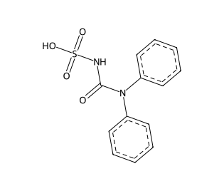 O=C(NS(=O)(=O)O)N(c1ccccc1)c1ccccc1